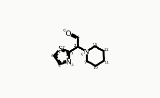 O=CC(c1nccs1)N1CCCCC1